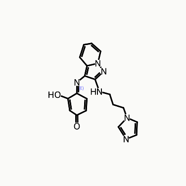 O=C1C=C/C(=N\c2c(NCCCn3ccnc3)nn3ccccc23)C(O)=C1